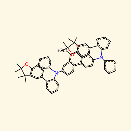 CCCCCCCCc1c(CCCCCCCC)c2cc(N(c3ccccc3)c3ccccc3-c3ccc4c(c3)C(C)(C)C(C)(C)O4)ccc2c2ccc(N(c3ccccc3)c3ccccc3-c3ccc4c(c3)C(C)(C)C(C)(C)O4)cc12